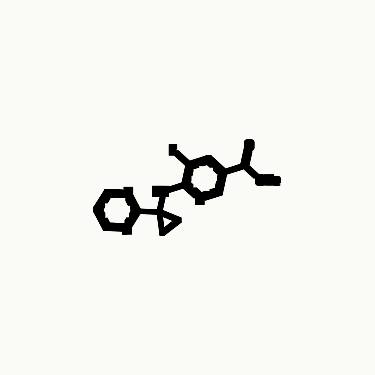 COC(=O)c1cnc(NC2(c3ncccn3)CC2)c(F)c1